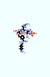 CC1(C)[C@H](NC(=O)/C(=N\O[C@](C)(C(=O)O)[C@H]2CCc3cc(C(=N)NCC4(F)CC5(CC(N)C5)C4)ccc3O2)c2csc(N)n2)C(=O)N1OS(=O)(=O)O